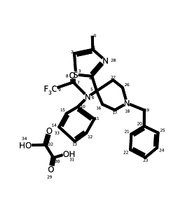 Cc1csc(C2(N(C(=O)C(F)(F)F)c3ccccc3)CCN(Cc3ccccc3)CC2)n1.O=C(O)C(=O)O